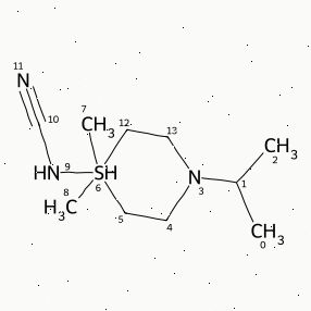 CC(C)N1CC[SH](C)(C)(NC#N)CC1